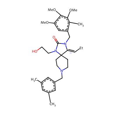 CC/C=C1\N(Cc2cc(OC)c(OC)c(OC)c2C)C(=O)N(CCO)C12CCN(Cc1cc(C)cc(C)c1)CC2